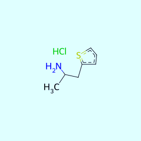 CC(N)Cc1cccs1.Cl